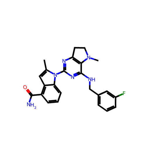 Cc1cc2c(C(N)=O)cccc2n1-c1nc2c(c(NCc3cccc(F)c3)n1)N(C)CC2